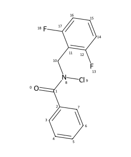 O=C(c1ccccc1)N(Cl)Cc1c(F)cccc1F